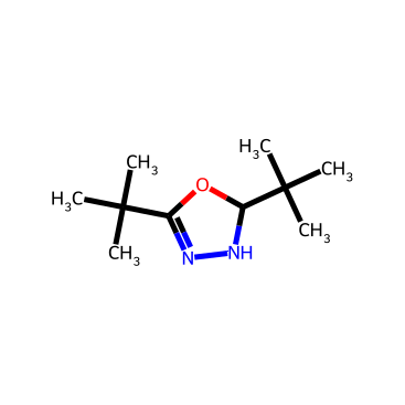 CC(C)(C)C1=NNC(C(C)(C)C)O1